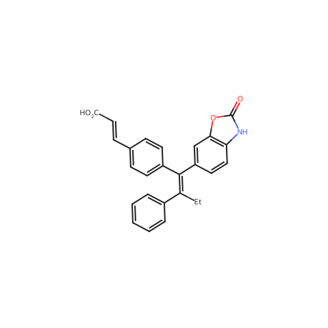 CC/C(=C(/c1ccc(/C=C/C(=O)O)cc1)c1ccc2[nH]c(=O)oc2c1)c1ccccc1